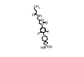 CCCC(=O)NCC1CN(c2cc(F)c(N3CCC4(CC3)CS(O)(O)C4)c(F)c2)C(=O)O1